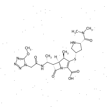 COc1nnnn1CC(=O)N[C@H](C)[C@H]1C(=O)N2C(C(=O)O)=C(S[C@@H]3CN[C@H](C(=O)N(C)C)C3)[C@H](C)[C@H]12